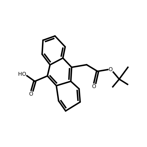 CC(C)(C)OC(=O)Cc1c2ccccc2c(C(=O)O)c2ccccc12